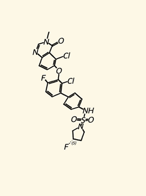 Cn1cnc2ccc(Oc3c(F)ccc(-c4ccc(NS(=O)(=O)N5CC[C@H](F)C5)cc4)c3Cl)c(Cl)c2c1=O